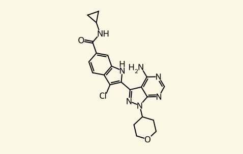 Nc1ncnc2c1c(-c1[nH]c3cc(C(=O)NC4CC4)ccc3c1Cl)nn2C1CCOCC1